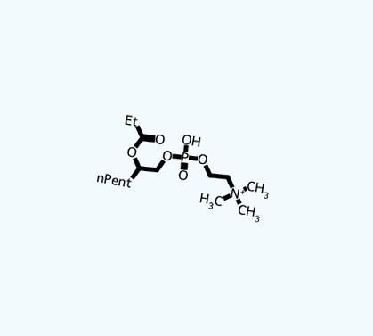 CCCCCC(COP(=O)(O)OCC[N+](C)(C)C)OC(=O)CC